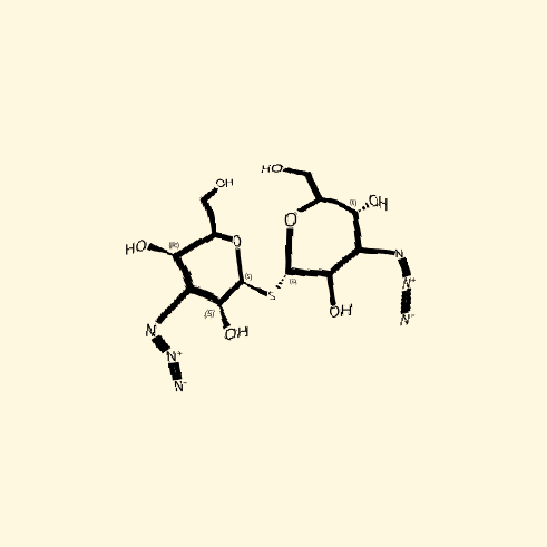 [N-]=[N+]=NC1C(O)[C@H](S[C@@H]2OC(CO)[C@H](O)C(N=[N+]=[N-])[C@@H]2O)OC(CO)[C@@H]1O